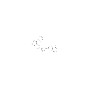 COc1cccc(NC(=O)c2nnc(C(=O)Nc3cnccc3N3CCNCC3)o2)c1